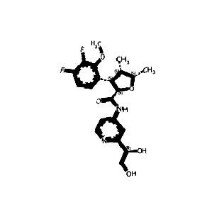 COc1c([C@@H]2[C@H](C)[C@H](C)O[C@H]2C(=O)Nc2ccnc([C@@H](O)CO)c2)ccc(F)c1F